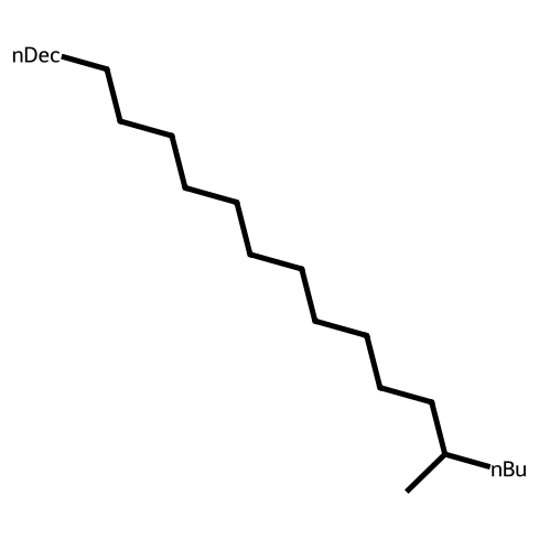 CCCCCCCCCCCCCCCCCCCCCC(C)CCCC